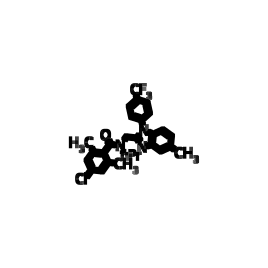 CCCN(Cc1nc2cc(C)ccc2n1-c1ccc(C(F)(F)F)cc1)C(=O)c1c(C)cc(Cl)cc1C